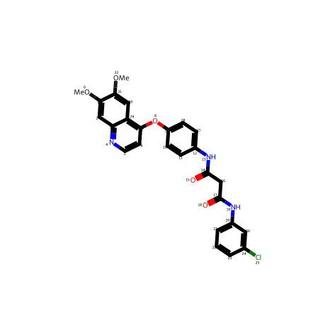 COc1cc2nccc(Oc3ccc(NC(=O)CC(=O)Nc4cccc(Cl)c4)cc3)c2cc1OC